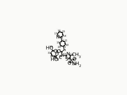 Cc1nc(N(C)C(=O)Cc2ccc(-c3ccccn3)cc2)sc1S(N)(=O)=O.O=C(O)/C=C\C(=O)O